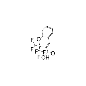 O=C(O)C1=Cc2ccccc2OC1(C(F)F)C(F)(F)F